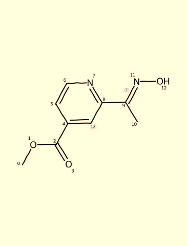 COC(=O)c1ccnc(/C(C)=N/O)c1